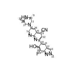 C[C@@H]1CN(c2cnc3nc(-c4cc5cn(C)nc5c(F)c4O)cc(C#N)c3c2)C[C@@H](C)N1